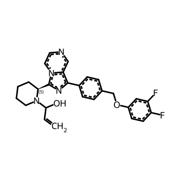 C=CC(O)N1CCCC[C@H]1c1nc(-c2ccc(COc3ccc(F)c(F)c3)cc2)c2cnccn12